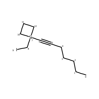 CCCCCC#C[Si]1(CI)CCC1